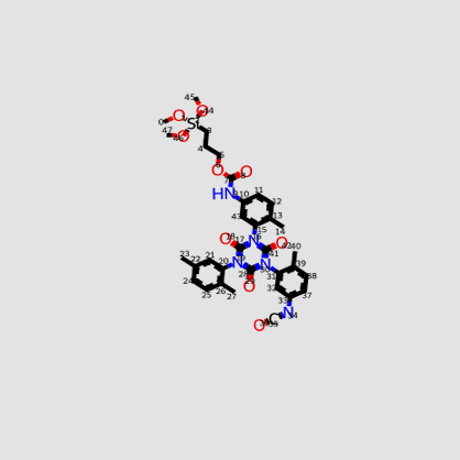 CO[Si](CCCOC(=O)Nc1ccc(C)c(-n2c(=O)n(-c3cc(C)ccc3C)c(=O)n(-c3cc(N=C=O)ccc3C)c2=O)c1)(OC)OC